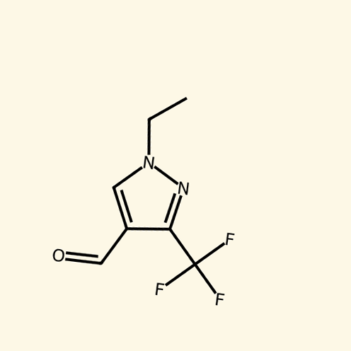 CCn1cc(C=O)c(C(F)(F)F)n1